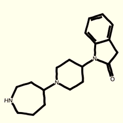 O=C1Cc2ccccc2N1C1CCN(C2CCCNCC2)CC1